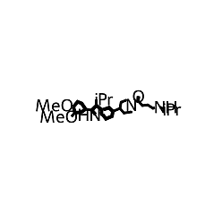 COc1ccc(-c2[nH]c3ccc(C4CCN(C(=O)CCCNC(C)C)CC4)cc3c2C(C)C)cc1OC